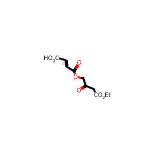 CCOC(=O)CC(=O)COC(=O)/C=C/C(=O)O